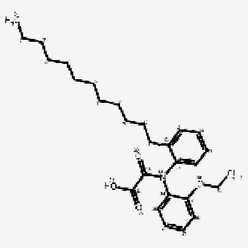 CCCCCCCCCCCCc1ccccc1N(C(=O)C(=O)O)c1ccccc1OCC